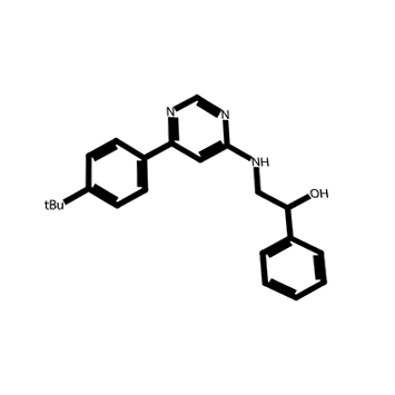 CC(C)(C)c1ccc(-c2cc(NCC(O)c3ccccc3)ncn2)cc1